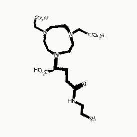 O=C(O)CN1CCN(CC(=O)O)CCN([C@@H](CCC(=O)NCCS)C(=O)O)CC1